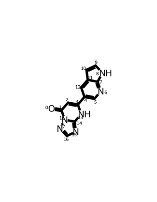 O=c1cc(-c2cnc3[nH]ccc3c2)[nH]c2ncnn12